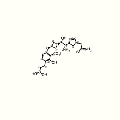 NC(=O)CN1C=NC(C(N)C(O)N2CC(Oc3ccc(CCB(O)O)c(O)c3C(=O)O)C2)C1